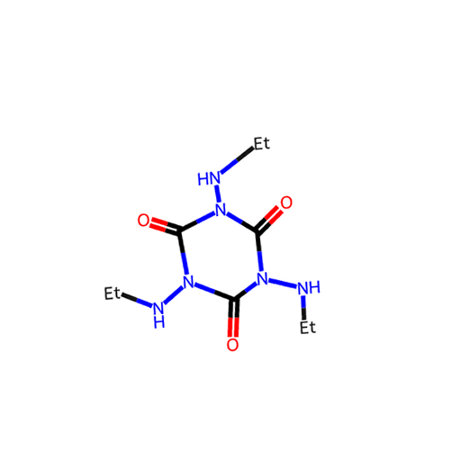 CCNn1c(=O)n(NCC)c(=O)n(NCC)c1=O